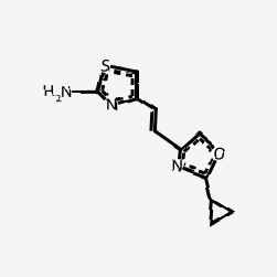 Nc1nc(C=Cc2coc(C3CC3)n2)cs1